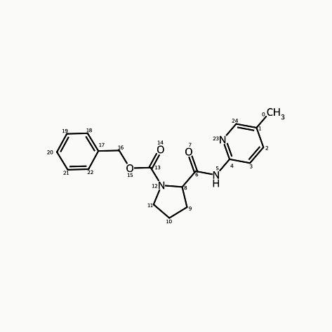 Cc1ccc(NC(=O)C2CCCN2C(=O)OCc2ccccc2)nc1